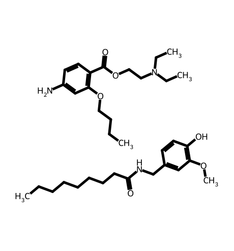 CCCCCCCCC(=O)NCc1ccc(O)c(OC)c1.CCCCOc1cc(N)ccc1C(=O)OCCN(CC)CC